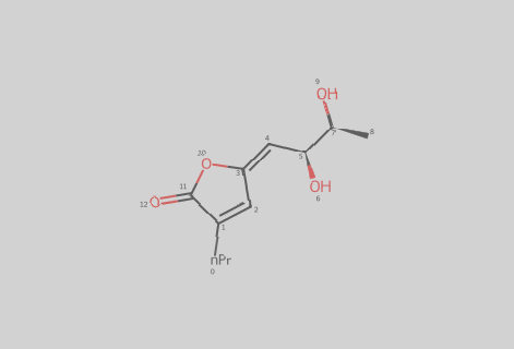 CCCC1=C/C(=C\[C@H](O)[C@H](C)O)OC1=O